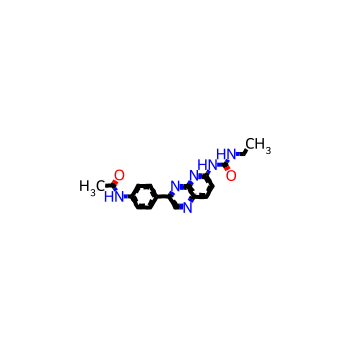 CCNC(=O)Nc1ccc2ncc(-c3ccc(NC(C)=O)cc3)nc2n1